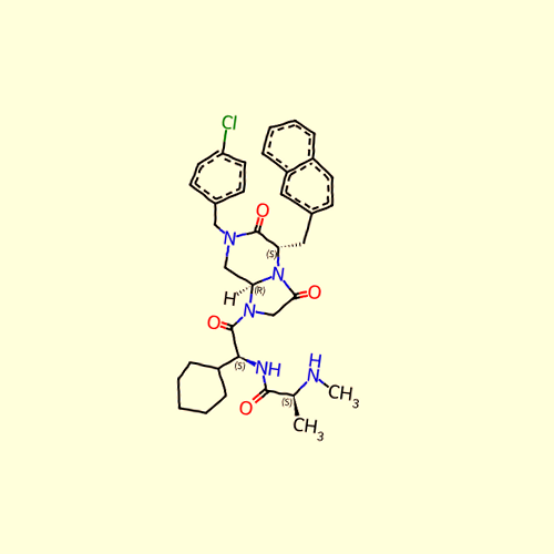 CN[C@@H](C)C(=O)N[C@H](C(=O)N1CC(=O)N2[C@@H]1CN(Cc1ccc(Cl)cc1)C(=O)[C@@H]2Cc1ccc2ccccc2c1)C1CCCCC1